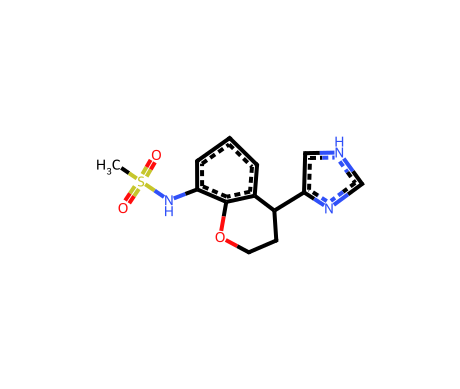 CS(=O)(=O)Nc1cccc2c1OCCC2c1c[nH]cn1